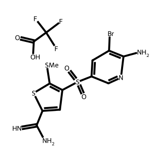 CSc1sc(C(=N)N)cc1S(=O)(=O)c1cnc(N)c(Br)c1.O=C(O)C(F)(F)F